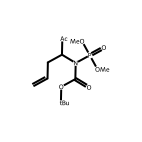 C=CCC(C(C)=O)N(C(=O)OC(C)(C)C)P(=O)(OC)OC